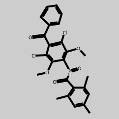 COc1c(Cl)c(C(=O)c2ccccc2)c(Cl)c(OC)c1[PH](=O)C(=O)c1c(C)cc(C)cc1C